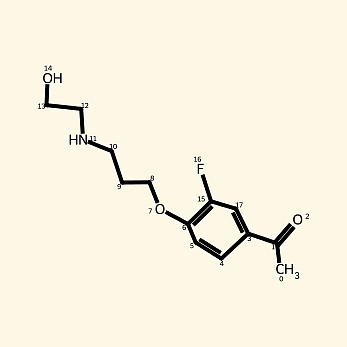 CC(=O)c1ccc(OCCCNCCO)c(F)c1